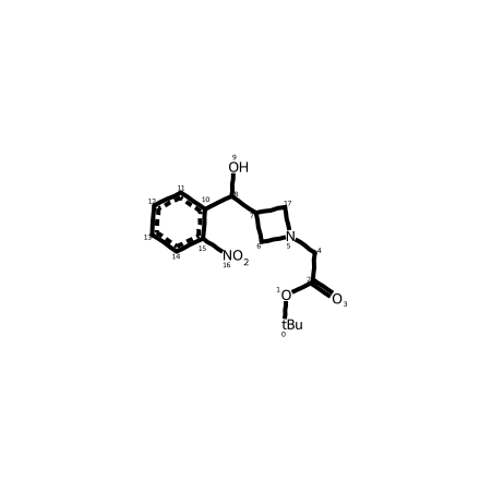 CC(C)(C)OC(=O)CN1CC(C(O)c2ccccc2[N+](=O)[O-])C1